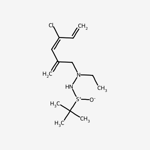 C=C/C(Cl)=C\C(=C)CN(CC)N[S+]([O-])C(C)(C)C